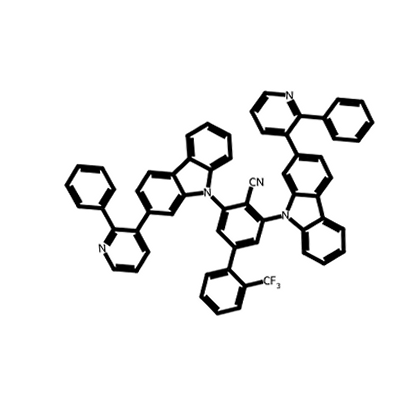 N#Cc1c(-n2c3ccccc3c3ccc(-c4cccnc4-c4ccccc4)cc32)cc(-c2ccccc2C(F)(F)F)cc1-n1c2ccccc2c2ccc(-c3cccnc3-c3ccccc3)cc21